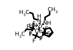 CCC[NH][Zr]([NH]CCC)([NH]CCC)([C]1=CC=CC1)[Ge]([C](F)(F)F)([C](F)(F)F)[C](F)(F)F